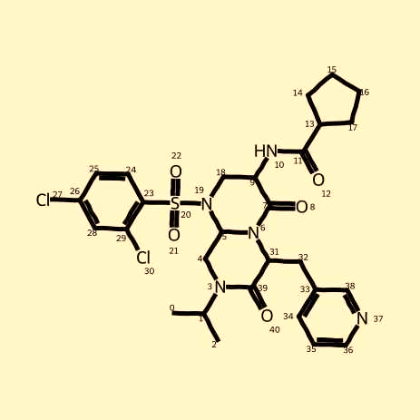 CC(C)N1CC2N(C(=O)C(NC(=O)C3CCCC3)CN2S(=O)(=O)c2ccc(Cl)cc2Cl)C(Cc2cccnc2)C1=O